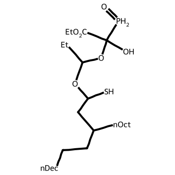 CCCCCCCCCCCCC(CCCCCCCC)CC(S)OC(CC)OC(O)([PH2]=O)C(=O)OCC